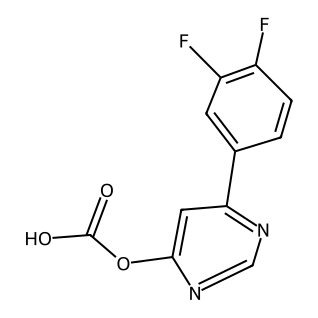 O=C(O)Oc1cc(-c2ccc(F)c(F)c2)ncn1